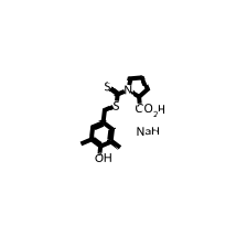 Cc1cc(CSC(=S)N2CCCC2C(=O)O)cc(C)c1O.[NaH]